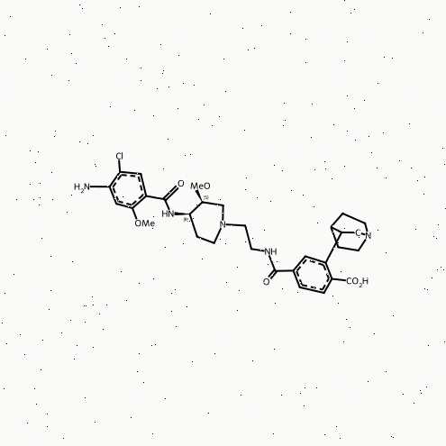 COc1cc(N)c(Cl)cc1C(=O)N[C@@H]1CCN(CCNC(=O)c2ccc(C(=O)O)c(C3CN4CCC3CC4)c2)C[C@@H]1OC